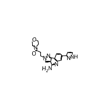 Nc1nc2cc(-c3cc[nH]n3)ccc2c2nn(CCC(=O)N3CCOCC3)cc12